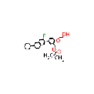 C=C(C)C(=O)OCc1cc(-c2cc3c(cc2F)CC(C2CCCCC2)CC3)ccc1OCCO